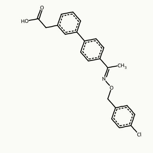 C/C(=N\OCc1ccc(Cl)cc1)c1ccc(-c2cccc(CC(=O)O)c2)cc1